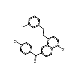 O=C(c1ccc(Cl)cc1)c1ccc2c(c1)c(CCc1cccc(Cl)c1)cc[n+]2[O-]